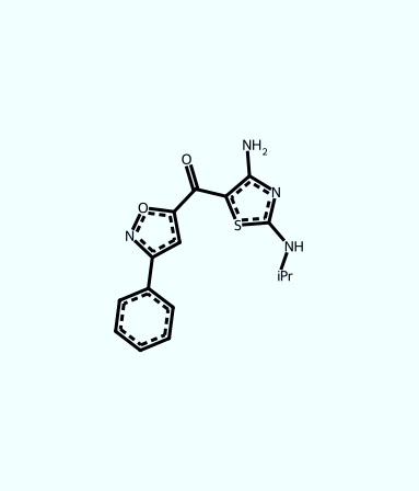 CC(C)Nc1nc(N)c(C(=O)c2cc(-c3ccccc3)no2)s1